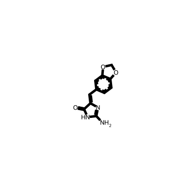 NC1=N/C(=C\c2ccc3c(c2)OCO3)C(=O)N1